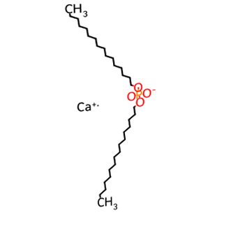 CCCCCCCCCCCCCCCCOP(=O)([O-])OCCCCCCCCCCCCCCCC.[Ca+]